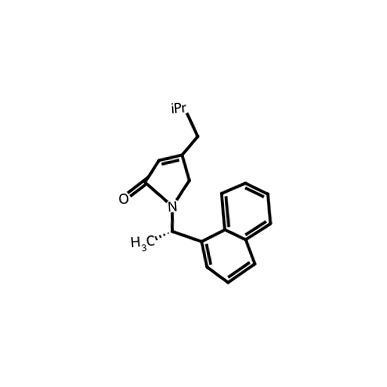 CC(C)CC1=CC(=O)N([C@@H](C)c2cccc3ccccc23)C1